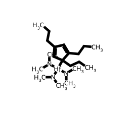 CCCC1=C[C](CCC)([Hf]([N](C)C)([N](C)C)[N](C)C)C(CCC)=C1